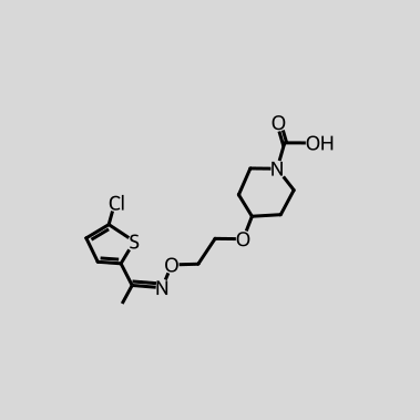 CC(=NOCCOC1CCN(C(=O)O)CC1)c1ccc(Cl)s1